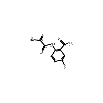 NC(=O)c1cc(Cl)ccc1NC(=O)C(=O)O